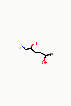 CC(C)C(O)CCC(O)CN